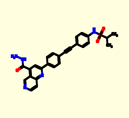 CC(C)S(=O)(=O)Nc1ccc(C#Cc2ccc(-c3cc(C(=O)NN)c4cnccc4n3)cc2)cc1